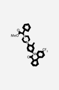 COC(=O)C(c1ccccc1)N1CCN(c2ccc(NC(=O)c3ccccc3-c3ccc(C(F)(F)F)cc3)cc2C)CC1